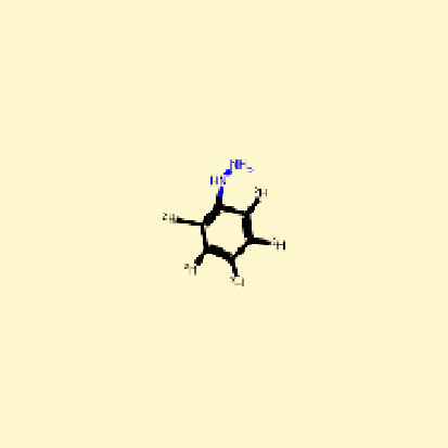 [2H]c1c([2H])c([2H])c(NN)c([2H])c1[2H]